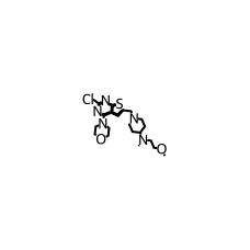 COCCN(C)C1CCN(Cc2cc3c(N4CCOCC4)nc(Cl)nc3s2)CC1